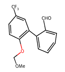 COCOc1ccc(C(F)(F)F)cc1-c1ccccc1C=O